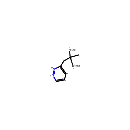 CCCCCCC(C)(CCCCC)Cc1cccnn1